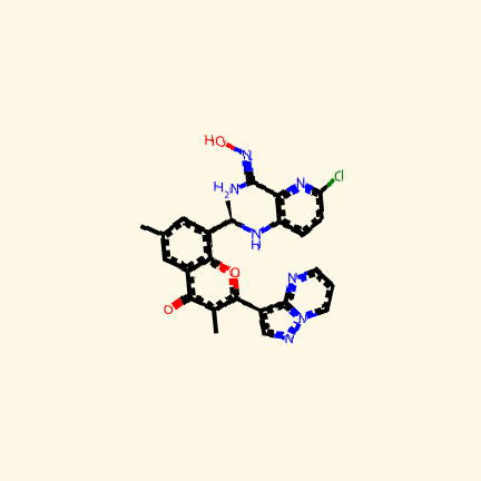 Cc1cc([C@@H](C)Nc2ccc(Cl)nc2/C(N)=N/O)c2oc(-c3cnn4cccnc34)c(C)c(=O)c2c1